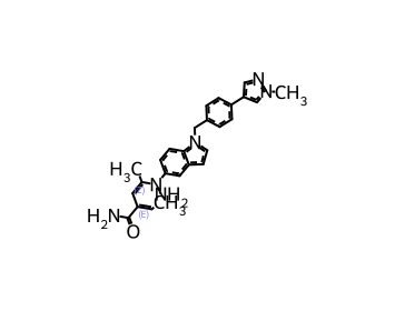 C/C=C(\C=C(\C)N(N)c1ccc2c(ccn2Cc2ccc(-c3cnn(C)c3)cc2)c1)C(N)=O